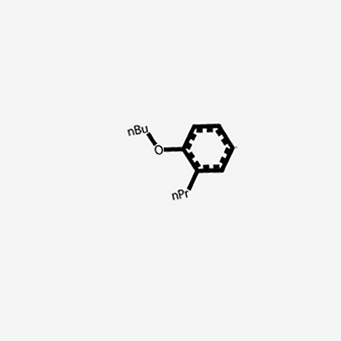 CCCCOc1cc[c]cc1CCC